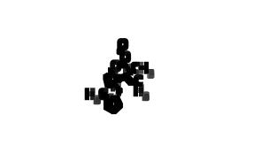 CCC(c1nccn1C[C@@H]1CCCN1C)N(C)C(=O)OC=O